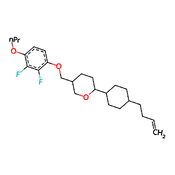 C=CCCC1CCC(C2CCC(COc3ccc(OCCC)c(F)c3F)CO2)CC1